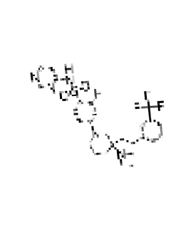 O=S(=O)(Nc1ccncn1)c1ccc(N2CCCC(CCc3cccc(C(F)(F)F)c3)(N3CCC3)C2)cc1F